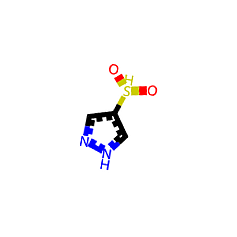 O=[SH](=O)c1cn[nH]c1